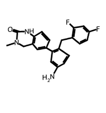 CN1Cc2cc(-c3cc(N)ccc3Cc3ccc(F)cc3F)ccc2NC1=O